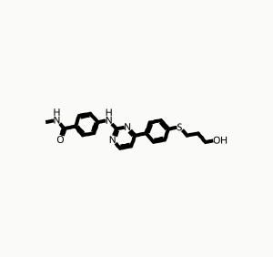 CNC(=O)c1ccc(Nc2nccc(-c3ccc(SCCCO)cc3)n2)cc1